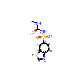 CNC(=O)NS(=O)(=O)c1ccc2ncsc2c1